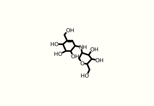 OCC1=CC(NC2COC(CO)C(O)C2O)C(O)C(O)C1O